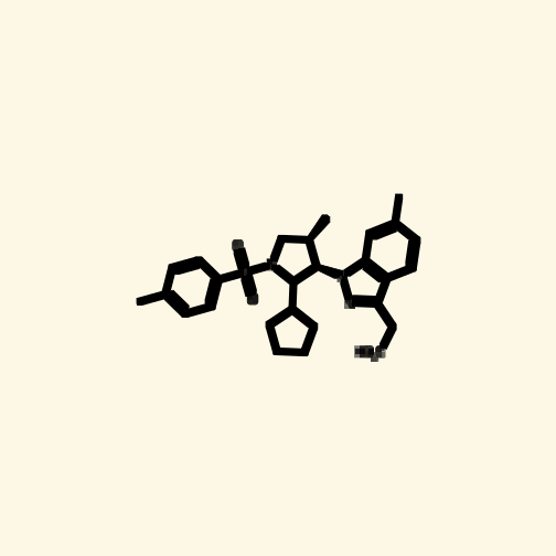 Cc1ccc(S(=O)(=O)N2C[C@@H](C)[C@@H](n3nc(CC(=O)O)c4ccc(C)cc43)C2C2CCCC2)cc1